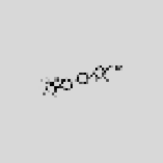 Cc1nc(N2CCC(C3CCN(C(=O)C(O)(C(C)C)C(F)(F)F)CC3)CC2)ccc1C=O